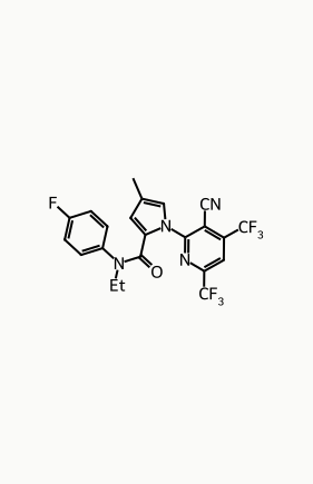 CCN(C(=O)c1cc(C)cn1-c1nc(C(F)(F)F)cc(C(F)(F)F)c1C#N)c1ccc(F)cc1